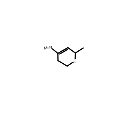 CNC1=CC(C)OCC1